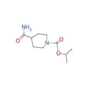 CC(C)OC(=O)N1CCC(C(N)=O)CC1